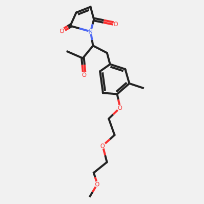 COCCOCCOc1ccc(CC(C(C)=O)N2C(=O)C=CC2=O)cc1C